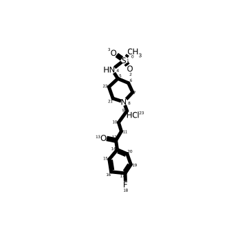 CS(=O)(=O)NC1CCN(CCCC(=O)c2ccc(F)cc2)CC1.Cl